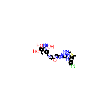 CCc1cc(-c2nnc(O)n2-c2ccc(CN3CCC(C(=O)N4CCC(CNCC[C@@H]5N=C(c6ccc(Cl)cc6)c6c(sc(C)c6C)N(C(C)=N)C5=N)C4)CC3)cc2)c(O)cc1O